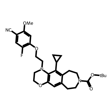 COc1cc(OCCN2CCOc3cc4c(c(C5CC5)c32)CCN(C(=O)OC(C)(C)C)CC4)c(F)cc1C#N